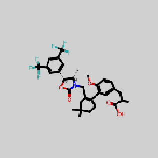 COc1ccc(CC(C)C(=O)O)cc1C1=C(CN2C(=O)O[C@H](c3cc(C(F)(F)F)cc(C(F)(F)F)c3)[C@@H]2C)CC(C)(C)CC1